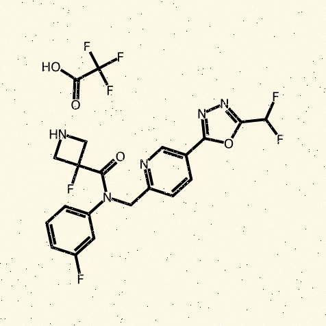 O=C(N(Cc1ccc(-c2nnc(C(F)F)o2)cn1)c1cccc(F)c1)C1(F)CNC1.O=C(O)C(F)(F)F